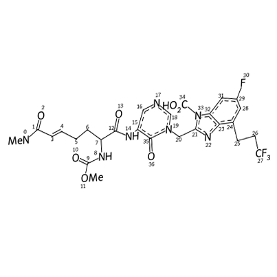 CNC(=O)/C=C/CCC(NC(=O)OC)C(=O)Nc1cncn(Cc2nc3c(CCC(F)(F)F)cc(F)cc3n2C(=O)O)c1=O